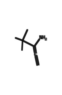 C=C=C(N)C(C)(C)C